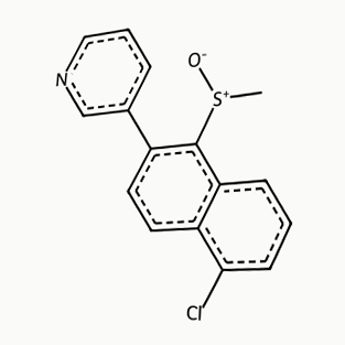 C[S+]([O-])c1c(-c2cccnc2)ccc2c(Cl)cccc12